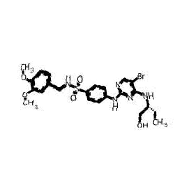 CC[C@H](CO)Nc1nc(Nc2ccc(S(=O)(=O)NCc3ccc(OC)c(OC)c3)cc2)ncc1Br